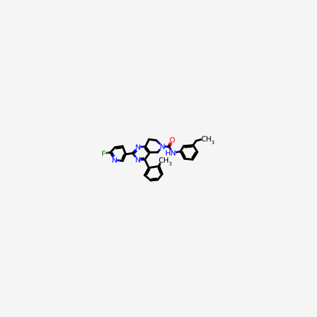 CCc1cccc(NC(=O)N2CCc3nc(-c4ccc(F)nc4)nc(-c4ccccc4C)c3C2)c1